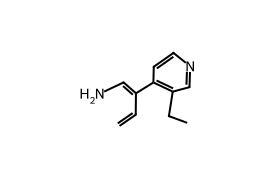 C=C/C(=C\N)c1ccncc1CC